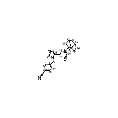 N#Cc1ccc(Cn2cncc2CCN([C]=S)C23CC4CC(CC(C4)C2)C3)cc1